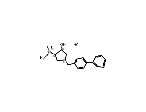 CN(C)[C@@H]1C[C@H](Cc2ccc(-c3ccccc3)cc2)C[C@H]1O.Cl